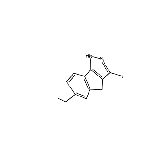 CCc1ccc2c(c1)Cc1c(I)n[nH]c1-2